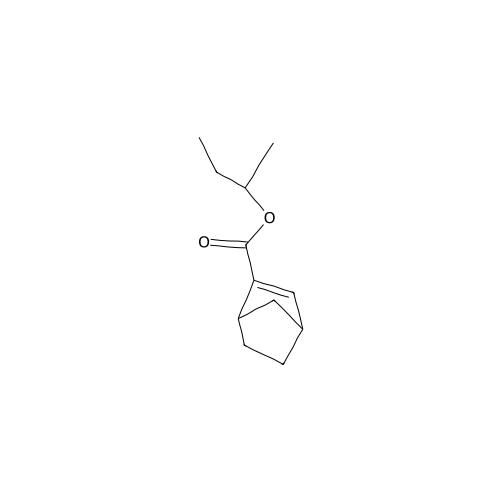 CCC(C)OC(=O)C1=CC2CCC1C2